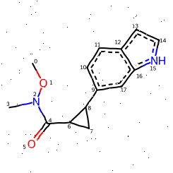 CON(C)C(=O)C1CC1c1ccc2cc[nH]c2c1